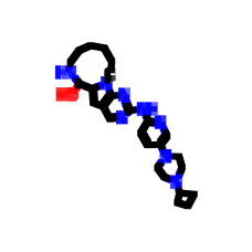 OC1NCCCCCCn2c1cc1cnc(Nc3ccc(N4CCN(C5CCC5)CC4)cn3)nc12